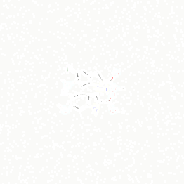 COC(=O)c1cc2cc(F)c(OC)cc2[nH]1.COC(=O)c1cc2cc(F)c(OC)cc2n1C